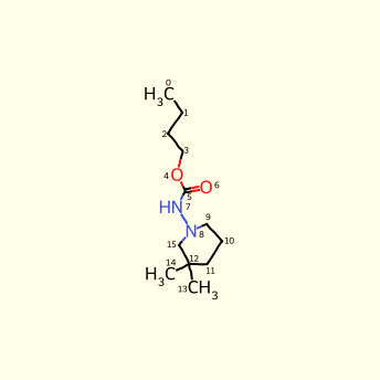 CCCCOC(=O)NN1CCCC(C)(C)C1